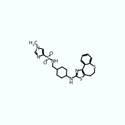 Cn1cnc(S(=O)(=O)NCC2CCC(Nc3nc4c(s3)CCSc3ccccc3-4)CC2)c1